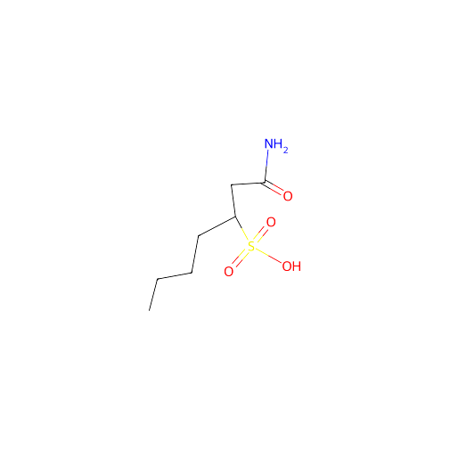 CCCCC(CC(N)=O)S(=O)(=O)O